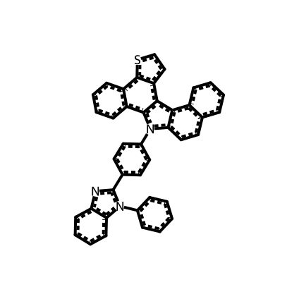 c1ccc(-n2c(-c3ccc(-n4c5ccc6ccccc6c5c5c6ccsc6c6ccccc6c54)cc3)nc3ccccc32)cc1